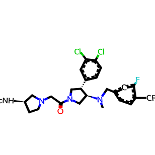 CC(=O)N[C@@H]1CCN(CC(=O)N2C[C@H](c3ccc(Cl)c(Cl)c3)[C@@H](N(C)Cc3ccc(C(F)(F)F)c(F)c3)C2)C1